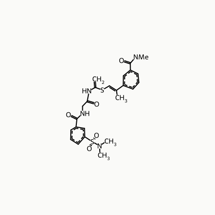 C=C(NC(=O)CNC(=O)c1cccc(S(=O)(=O)N(C)C)c1)S/C=C(\C)c1cccc(C(=O)NC)c1